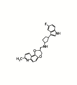 Cc1ccc2c3c(ccc2n1)OC[C@H](CNC1CCC(c2c[nH]c4ccc(F)cc24)C1)O3